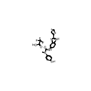 CN(C(=O)Nc1ccc2[nH]c(-c3cscn3)nc2c1)c1ccc(O)cc1.O=C(O)C(F)(F)F